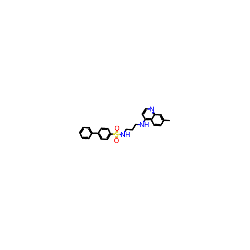 Cc1ccc2c(NCCCNS(=O)(=O)c3ccc(-c4ccccc4)cc3)ccnc2c1